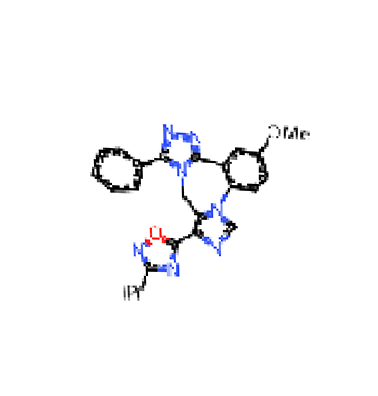 COc1ccc2c(c1)-c1nnc(-c3ccccc3)n1Cc1c(-c3nc(C(C)C)no3)ncn1-2